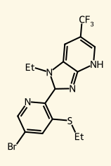 CCSc1cc(Br)cnc1C1N=C2NC=C(C(F)(F)F)C=C2N1CC